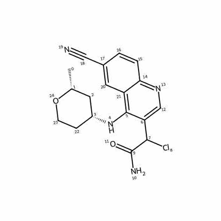 C[C@@H]1C[C@H](Nc2c(C(Cl)C(N)=O)cnc3ccc(C#N)cc23)CCO1